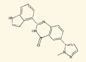 Cn1nccc1-c1ccc2nc(-c3cccc4[nH]ccc34)[nH]c(=O)c2c1